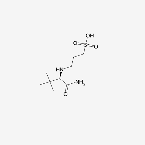 CC(C)(C)[C@@H](NCCCS(=O)(=O)O)C(N)=O